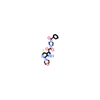 O=C(C(=O)N1CCN(C(=O)c2ccccc2)CC1)c1c[nH]c2c(N3CCOCC3)ncc(F)c12